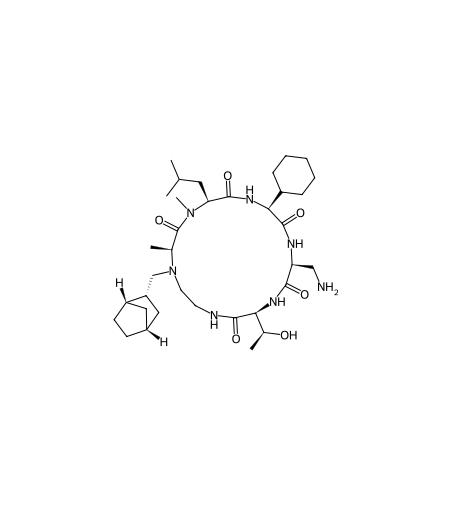 CC(C)C[C@H]1C(=O)N[C@@H](C2CCCCC2)C(=O)N[C@@H](CN)C(=O)N[C@@H]([C@H](C)O)C(=O)NCCN(C[C@@H]2C[C@@H]3CC[C@H]2C3)[C@@H](C)C(=O)N1C